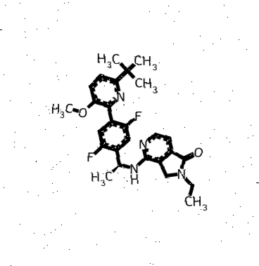 CCN1Cc2c(ccnc2N[C@@H](C)c2cc(F)c(-c3nc(C(C)(C)C)ccc3OC)cc2F)C1=O